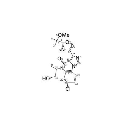 COC(C)(C)c1nc(-c2ncn3c2c(=O)n(C(C)CO)c2cc(Cl)ccc23)no1